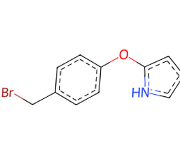 BrCc1ccc(Oc2ccc[nH]2)cc1